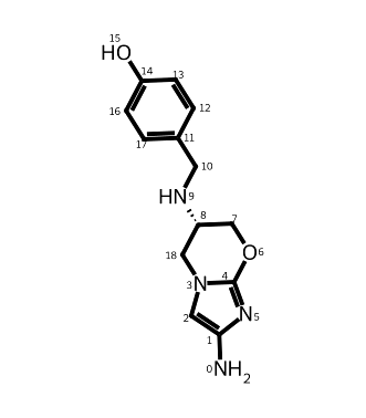 Nc1cn2c(n1)OC[C@@H](NCc1ccc(O)cc1)C2